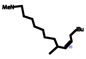 CCC(C)C/C=C\C(C)CCCCCCCNC